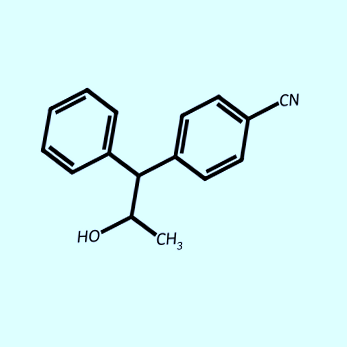 CC(O)C(c1ccccc1)c1ccc(C#N)cc1